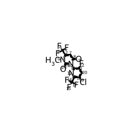 Cn1c(C(F)(F)F)cc(=O)n(-c2nc(C(F)(F)F)c(Cl)cc2F)c1=O